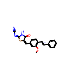 COc1cc(C=C2SC(=NC#N)NC2=O)ccc1/C=C/c1ccccc1